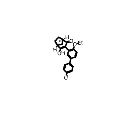 CCOc1ccc(-c2ccc(Cl)cc2)cc1C1=C(O)[C@H]2CC[C@H](C2)C1=O